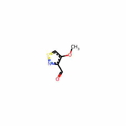 COc1csnc1C=O